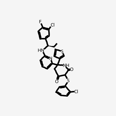 CC[C@@H](Nc1cccc(C2(c3ccsc3)CC(=O)C(Sc3ccccc3Cl)C(=O)N2)n1)c1ccc(F)c(Cl)c1